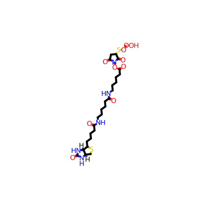 O=C(CCCCCNC(=O)CCCCC1SC[C@@H]2NC(=O)N[C@H]12)NCCCCCC(=O)ON1C(=O)CC(SOOO)C1=O